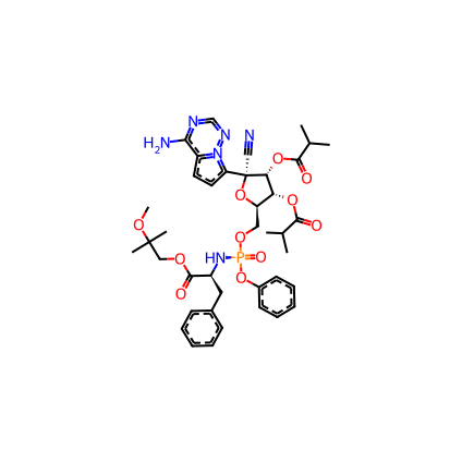 COC(C)(C)COC(=O)[C@H](Cc1ccccc1)N[P@](=O)(OC[C@H]1O[C@@](C#N)(c2ccc3c(N)ncnn23)[C@H](OC(=O)C(C)C)[C@@H]1OC(=O)C(C)C)Oc1ccccc1